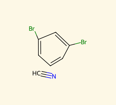 Brc1cccc(Br)c1.C#N